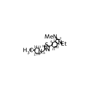 CCn1cc(NC)c2cc(-c3nc(CN4CCC(C)CC4)cs3)ccc21